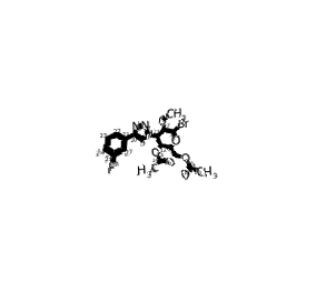 COC1C(Br)OC(COC(C)=O)C(OC(C)=O)C1n1cc(-c2cccc(F)c2)nn1